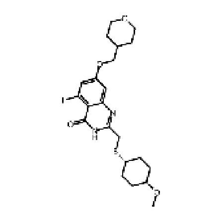 CO[C@H]1CC[C@H](SCc2nc3cc(OCC4CCOCC4)cc(F)c3c(=O)[nH]2)CC1